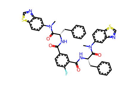 CN(C(=O)[C@H](Cc1ccccc1)NC(=O)c1ccc(F)c(C(=O)N[C@@H](Cc2ccccc2)C(=O)N(C)c2ccc3scnc3c2)c1)c1ccc2scnc2c1